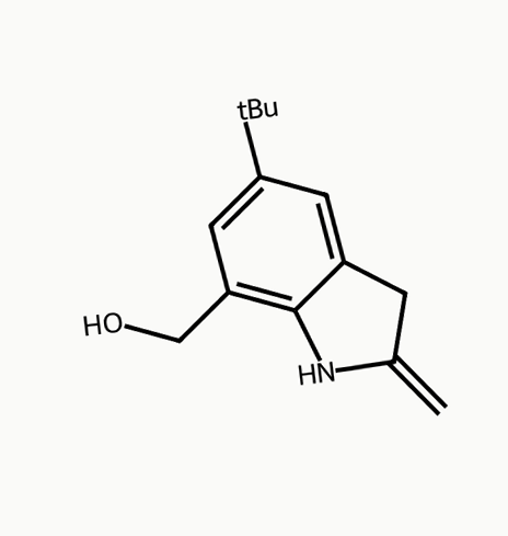 C=C1Cc2cc(C(C)(C)C)cc(CO)c2N1